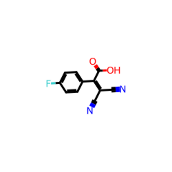 N#CC(C#N)=C(C(=O)O)c1ccc(F)cc1